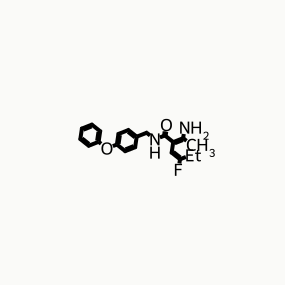 CC/C(F)=C\C(C(=O)NCc1ccc(Oc2ccccc2)cc1)=C(/C)N